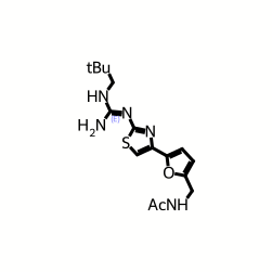 CC(=O)NCc1ccc(-c2csc(/N=C(\N)NCC(C)(C)C)n2)o1